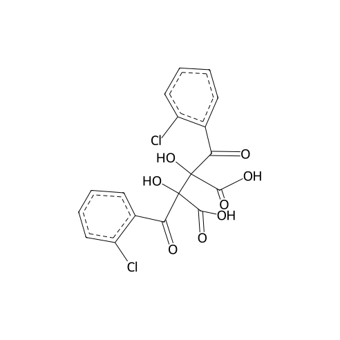 O=C(O)C(O)(C(=O)c1ccccc1Cl)C(O)(C(=O)O)C(=O)c1ccccc1Cl